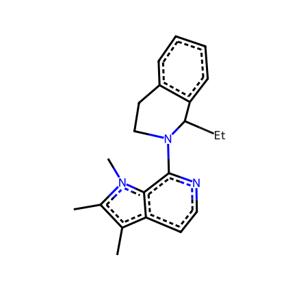 CCC1c2ccccc2CCN1c1nccc2c(C)c(C)n(C)c12